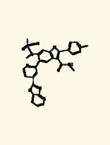 CNC(=O)c1c(-c2ccc(C)cc2)oc2cc(N(C)S(C)(=O)=O)c(-c3cc(-c4nc5ncccc5o4)ccn3)cc12